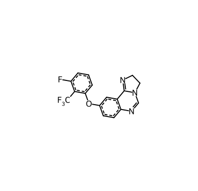 Fc1cccc(Oc2ccc3c(c2)C2=NCCN2C=N3)c1C(F)(F)F